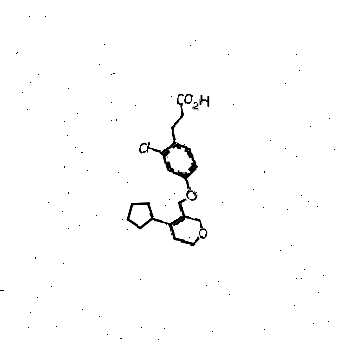 O=C(O)CCc1ccc(OCC2=C(C3CCCC3)CCOC2)cc1Cl